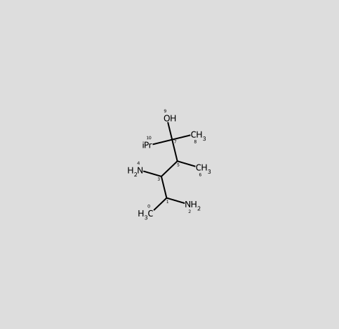 CC(N)C(N)C(C)C(C)(O)C(C)C